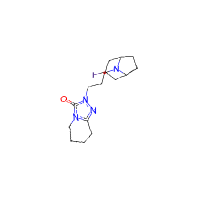 O=c1n(CCCN2C3CCC2CC(I)C3)nc2n1CCCC2